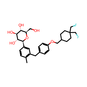 Cc1ccc([C@@H]2O[C@H](CO)[C@@H](O)[C@H](O)[C@H]2O)cc1Cc1ccc(OCC2CCC(CF)(CF)CC2)cc1